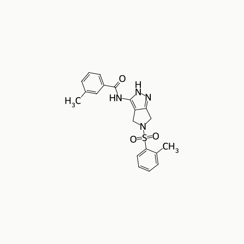 Cc1cccc(C(=O)Nc2[nH]nc3c2CN(S(=O)(=O)c2ccccc2C)C3)c1